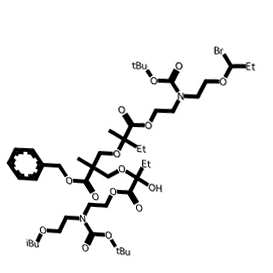 CCC(C)OCCN(CCOC(=O)C(O)(CC)OCC(C)(COC(C)(CC)C(=O)OCCN(CCOC(Br)CC)C(=O)OC(C)(C)C)C(=O)OCc1ccccc1)C(=O)OC(C)(C)C